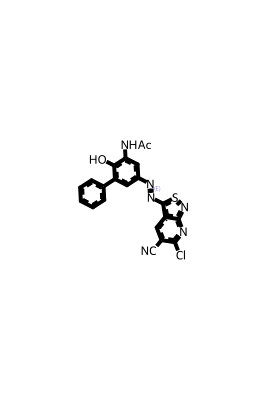 CC(=O)Nc1cc(/N=N/c2snc3nc(Cl)c(C#N)cc23)cc(-c2ccccc2)c1O